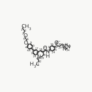 CCCCOCCOc1ccc(-c2ccc3c(c2)C=C(C(=O)Nc2ccc([S+]([O-])CCn4cncn4)cc2)CCN3CCC)cc1